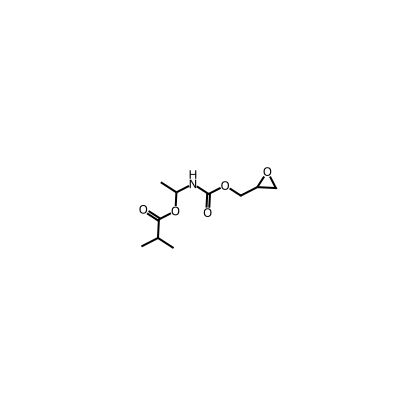 CC(NC(=O)OCC1CO1)OC(=O)C(C)C